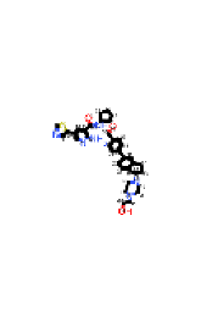 Nc1ncc(-c2cncs2)cc1C(=O)N[C@H]1CCC[C@@H]1OCc1ccc(-c2ccc3c(c2)CC[C@@H]3N2CCN(CCO)CC2)cc1